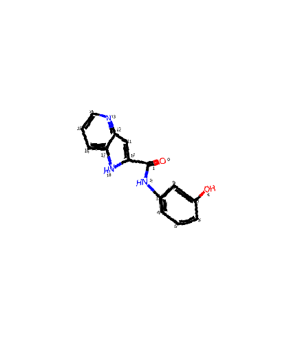 O=C(Nc1cccc(O)c1)c1cc2ncccc2[nH]1